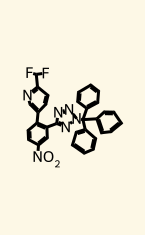 O=[N+]([O-])c1ccc(-c2ccc(C(F)F)nc2)c(-c2nnn(C(c3ccccc3)(c3ccccc3)c3ccccc3)n2)c1